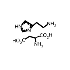 NCCc1c[nH]cn1.N[C@@H](CC(=O)O)C(=O)O